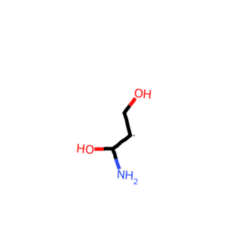 NC(O)[CH]CO